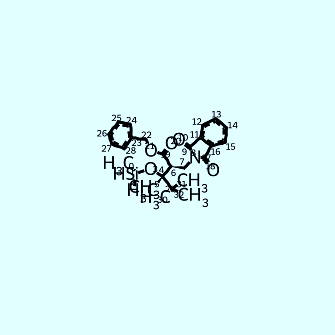 C[SiH](C)O[C@](C)([C@H](CN1C(=O)c2ccccc2C1=O)C(=O)OCc1ccccc1)C(C)(C)C